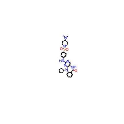 CN(C)C1CCN(S(=O)(=O)c2ccc(Nc3ncc4c(n3)N(C3CCCC3)c3ccccc3C(=O)N4)cc2)CC1